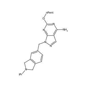 CCCCCOc1nc(N)c2cnn(Cc3ccc4c(c3)CN(C(C)C)C4)c2n1